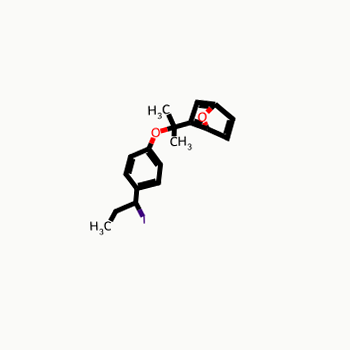 CCC(I)c1ccc(OC(C)(C)c2cc3ccc2o3)cc1